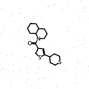 O=C(C1C=C(C2CCSCC2)SC1)N1CCCC2CCCCC21